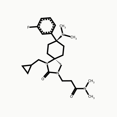 CN(C)C(=O)CCN1C[C@]2(CC[C@](c3cccc(F)c3)(N(C)C)CC2)N(CC2CC2)C1=O